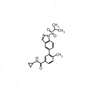 Cc1ccc(C(=O)NC2CC2)cc1-c1ccc2c(cnn2S(=O)(=O)C(C)C)c1